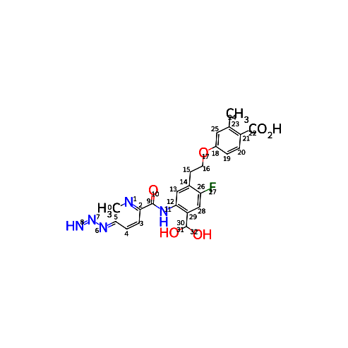 C\N=C(/C=C\C=N\N=N)C(=O)Nc1cc(CCOc2ccc(C(=O)O)c(C)c2)c(F)cc1C(O)O